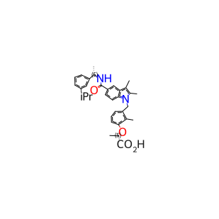 Cc1c(Cn2c(C)c(C)c3cc(C(=O)N[C@@H](C)c4cccc(C(C)C)c4)ccc32)cccc1O[C@@H](C)C(=O)O